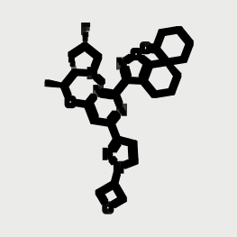 C[C@H](Oc1cc(-c2ccn(C3COC3)n2)nc(-c2noc3c2CCC[C@@]32CCCCC2=O)n1)[C@@H]1C[C@H](F)CN1C